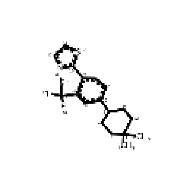 CC1(C)CCC(c2ccc(-c3nccs3)c(C(F)(F)F)c2)CC1